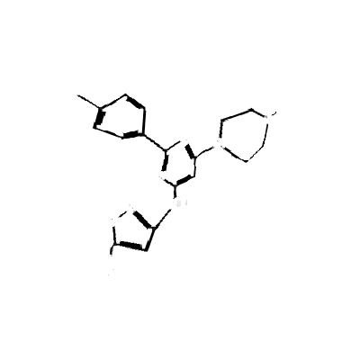 Cc1ccc(-c2nc(Nc3cc(C)[nH]n3)cc(N3CCN(C)CC3)n2)cc1